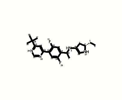 CC[C@H]1CC(NC(C)c2cc(F)c(-c3cc(C(C)(C)C)ncn3)cc2F)=CN1